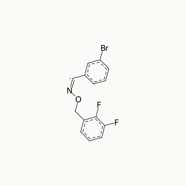 Fc1cccc(CO/N=[C]\c2cccc(Br)c2)c1F